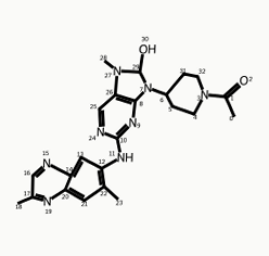 CC(=O)N1CCC(N2c3nc(Nc4cc5ncc(C)nc5cc4C)ncc3N(C)C2O)CC1